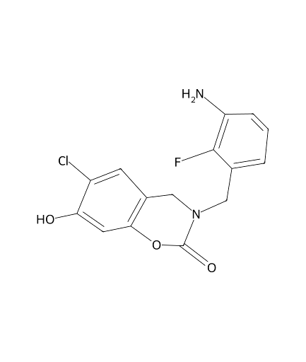 Nc1cccc(CN2Cc3cc(Cl)c(O)cc3OC2=O)c1F